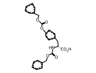 O=C(N[C@H](Cc1ccc(OC(=O)OCc2ccccc2)cc1)C(=O)O)OCc1ccccc1